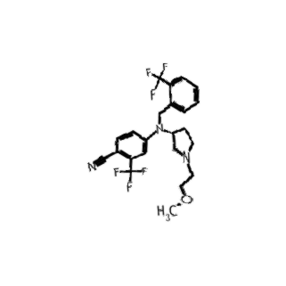 COCCN1CC[C@H](N(Cc2ccccc2C(F)(F)F)c2ccc(C#N)c(C(F)(F)F)c2)C1